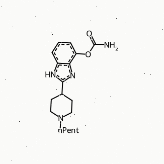 CCCCCN1CCC(c2nc3c(OC(N)=O)cccc3[nH]2)CC1